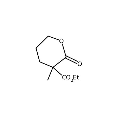 CCOC(=O)C1(C)CCCOC1=O